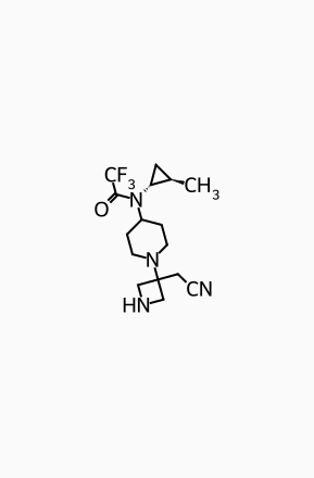 C[C@@H]1C[C@H]1N(C(=O)C(F)(F)F)C1CCN(C2(CC#N)CNC2)CC1